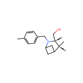 Cc1ccc(CN2C3CC(C3)[C@@H](C)[C@H]2CO)cc1